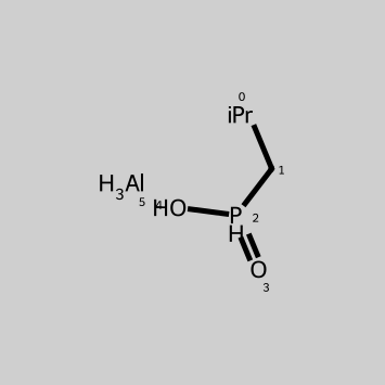 CC(C)C[PH](=O)O.[AlH3]